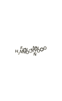 COc1ccc(Oc2ncnc(N3CCC(Oc4ncc(F)c(N)n4)CC3)c2C#N)cc1